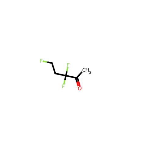 CC(=O)C(F)(F)CCF